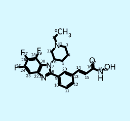 CCN1CCC[C@@H](n2c(-c3cccc(/C=C/C(=O)NO)c3)nc3cc(F)c(F)c(F)c32)C1